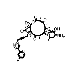 CC[C@H]1OC(=O)[C@H](C)C(=O)[C@H](C)[C@@H](O[C@@H]2O[C@H](C)CC(N)C2O)[C@](C)(OC)C[C@@H](C)C(=O)[C@H](C)[C@H]2N(CC#CCn3cc(-c4cc(F)ccn4)nn3)C(=O)O[C@]12C